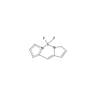 FS1(F)N2CC=CC2=Cc2cccn21